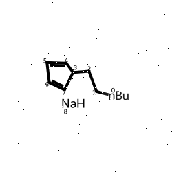 CCCCCC[C]1C=CC=C1.[NaH]